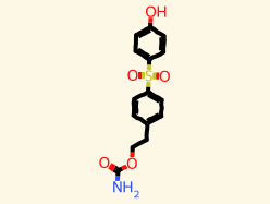 NC(=O)OCCc1ccc(S(=O)(=O)c2ccc(O)cc2)cc1